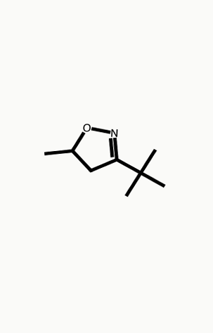 CC1CC(C(C)(C)C)=NO1